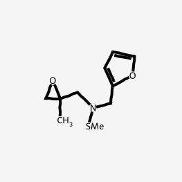 CSN(Cc1ccco1)CC1(C)CO1